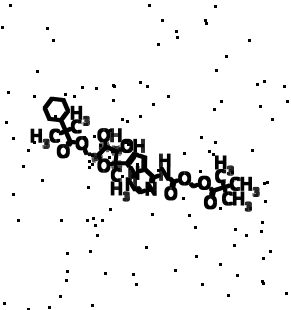 CC(C)(C)C(=O)OCOC(=O)Nc1ncnn2c([C@]3(C)O[C@H](COC(=O)C(C)(C)C4CCCCC4)[C@@H](O)[C@H]3O)ccc12